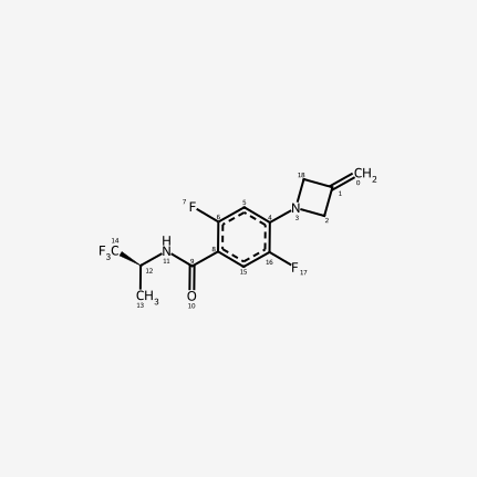 C=C1CN(c2cc(F)c(C(=O)N[C@@H](C)C(F)(F)F)cc2F)C1